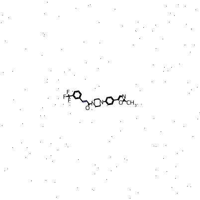 Cc1ncc(-c2ccc(N3CCN(C(=O)/C=C/c4cccc(C(F)(F)F)c4)CC3)cc2)o1